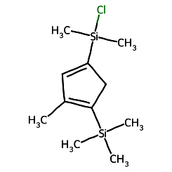 CC1=C([Si](C)(C)C)CC([Si](C)(C)Cl)=C1